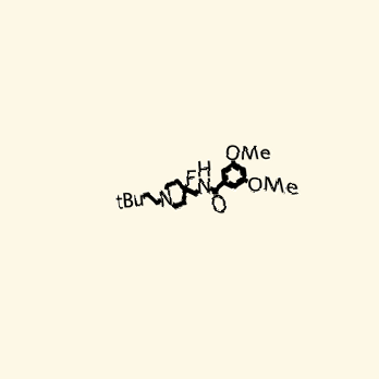 COc1cc(OC)cc(C(=O)NCC2(F)CCN(CCC(C)(C)C)CC2)c1